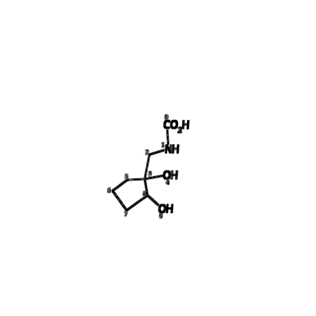 O=C(O)NCC1(O)CCCC1O